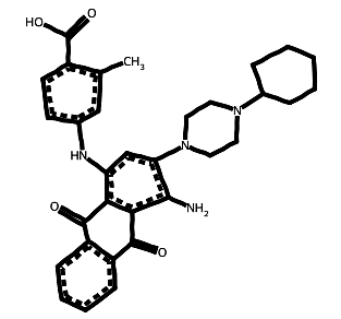 Cc1cc(Nc2cc(N3CCN(C4CCCCC4)CC3)c(N)c3c2C(=O)c2ccccc2C3=O)ccc1C(=O)O